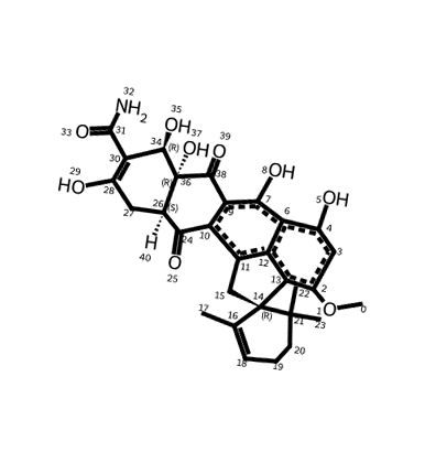 COc1cc(O)c2c(O)c3c(c4c2c1[C@@]1(C4)C(C)=CCCC1(C)C)C(=O)[C@H]1CC(O)=C(C(N)=O)[C@@H](O)[C@@]1(O)C3=O